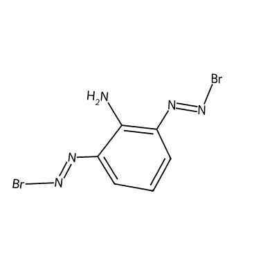 Nc1c(N=NBr)cccc1N=NBr